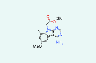 COc1cc(C)c2c(c1)c1c(N)ncnc1n2CC(=O)OC(C)(C)C